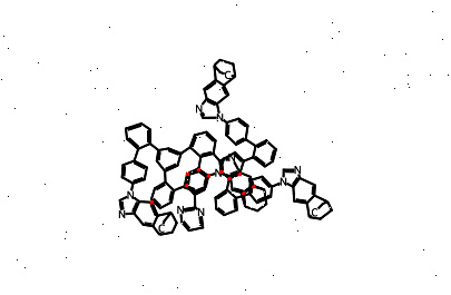 c1cnc(-c2ccc(-c3c(-c4cc(-c5ccccc5-c5ccc(-n6cnc7cc8c(cc76)C6CCC8CC6)cc5)cc(-c5ccccc5-c5ccc(-n6cnc7cc8c(cc76)C6CCC8CC6)cc5)c4)cccc3-c3cc(-c4ccccc4-c4ccc(-n5cnc6cc7c(cc65)C5CCC7CC5)cc4)cc(-c4ccccc4-c4ccc(-n5cnc6cc7c(cc65)C5CCC7CC5)cc4)c3)cc2)nc1